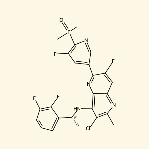 Cc1nc2cc(F)c(-c3cnc(P(C)(C)=O)c(F)c3)nc2c(N[C@H](C)c2cccc(F)c2F)c1Cl